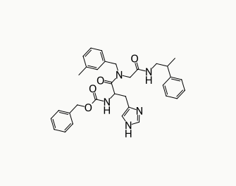 Cc1cccc(CN(CC(=O)NCC(C)c2ccccc2)C(=O)C(Cc2c[nH]cn2)NC(=O)OCc2ccccc2)c1